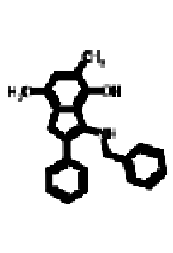 Cc1cc(C)c2c(c1O)C(NCc1ccccc1)=C(c1ccccc1)C2